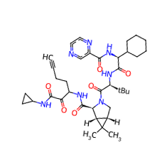 C#CCCC(NC(=O)[C@@H]1[C@@H]2[C@H](CN1C(=O)[C@@H](NC(=O)[C@@H](NC(=O)c1cnccn1)C1CCCCC1)C(C)(C)C)C2(C)C)C(=O)C(=O)NC1CC1